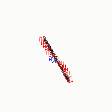 N[C@H](CC(=O)NCC(O)COCC(O)COCC(O)COCC(O)COCC(O)COCC(O)CO)C(=O)NCC(O)COCC(O)COCC(O)COCC(O)COCC(O)COCC(O)CO